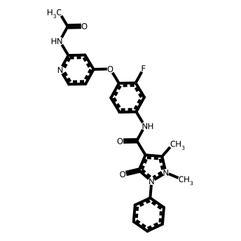 CC(=O)Nc1cc(Oc2ccc(NC(=O)c3c(C)n(C)n(-c4ccccc4)c3=O)cc2F)ccn1